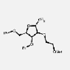 COCCOC1[C@H](C)O[C@H](COC(C)C)[C@@H]1OC(C)C